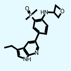 CCc1c[nH]c2ncc(-c3ccc(NC4COC4)c(P(C)(C)=O)c3)cc12